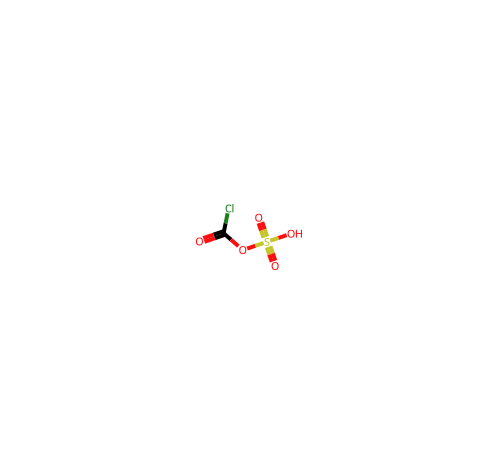 O=C(Cl)OS(=O)(=O)O